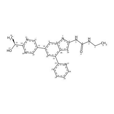 CCNC(=O)Nc1nc2cc(-c3cnc([C@H](C)O)nc3)cc(-c3ccccn3)c2s1